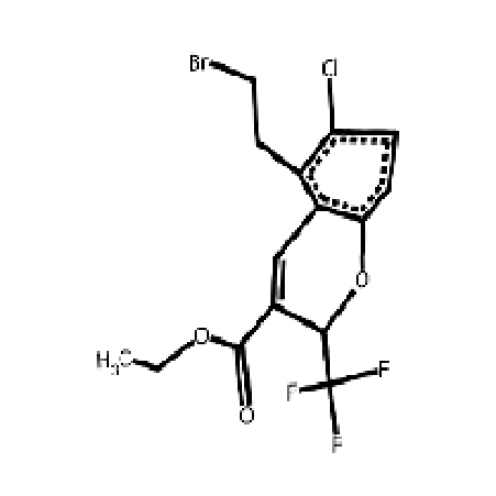 CCOC(=O)C1=Cc2c(ccc(Cl)c2CCBr)OC1C(F)(F)F